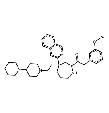 CC(C)Oc1cccc(CC(=O)C2CC(CCN3CCC(N4CCCCC4)CC3)(c3ccc4ccccc4c3)CCCN2)c1